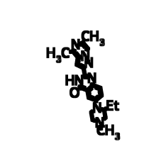 CCC1CN(C)CCN1c1ccc2nc(-c3cc4c(C)nc(C)cn4n3)[nH]c(=O)c2c1